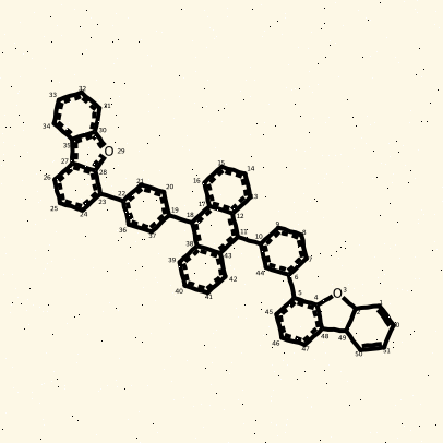 C1=CC2Oc3c(-c4cccc(-c5c6ccccc6c(-c6ccc(-c7cccc8c7oc7ccccc78)cc6)c6ccccc56)c4)cccc3C2C=C1